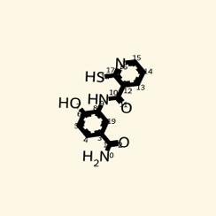 NC(=O)c1ccc(O)c(NC(=O)c2cccnc2S)c1